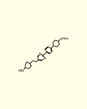 CCCCCCC1CCC(c2ccc(-c3ncc(CCC4CCC(CCCC)CC4)cn3)cc2)CC1